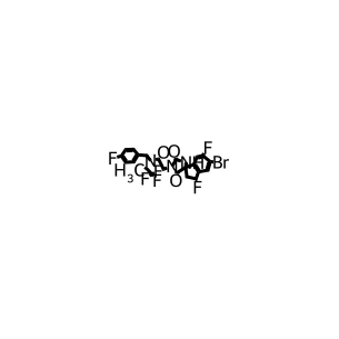 C[C@H](N(Cc1ccc(F)cc1)C(=O)CN1C(=O)NC2(C[C@@H](F)c3cc(Br)c(F)cc32)C1=O)C(F)(F)F